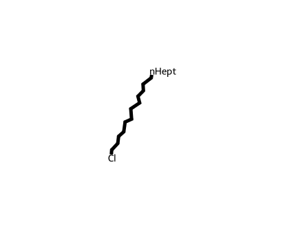 CCCCCCCCCCCCCCCCCCCCl